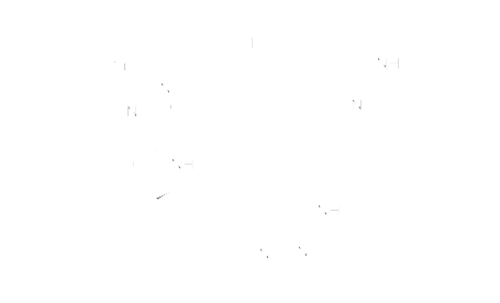 Cc1cc(-c2ncnc3[nH]c(-c4ccc(N5CCNCC5)cc4)cc23)ccc1[C@@H](C)NC(=O)c1nc(C(C)(C)C)no1.Cl